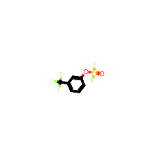 O=P(F)(F)Oc1cccc(C(F)(F)F)c1